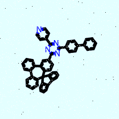 c1ccc(-c2ccc(-c3nc(-c4ccncc4)nc(-c4ccc5c(c4)-c4ccccc4-c4ccccc4C54c5ccccc5-c5ccccc54)n3)cc2)cc1